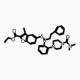 CCOC(=O)c1oc2ccc(SN(CCc3ccccc3)c3ccccc3N3CCN(C(=O)N(C)C)CC3)cc2c1C